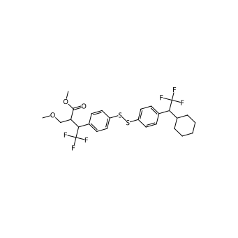 COCC(C(=O)OC)C(c1ccc(SSc2ccc(C(C3CCCCC3)C(F)(F)F)cc2)cc1)C(F)(F)F